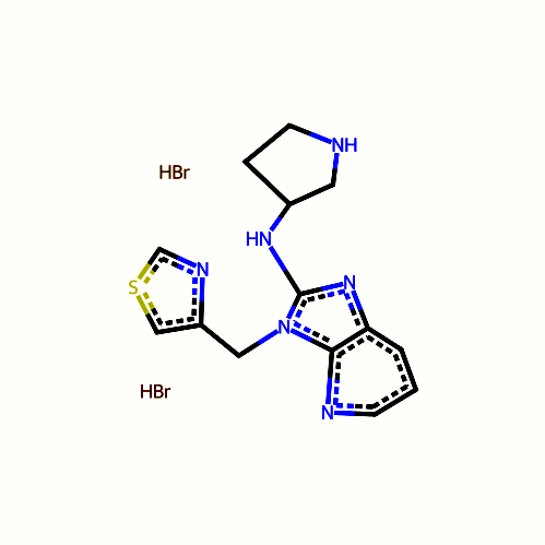 Br.Br.c1cnc2c(c1)nc(NC1CCNC1)n2Cc1cscn1